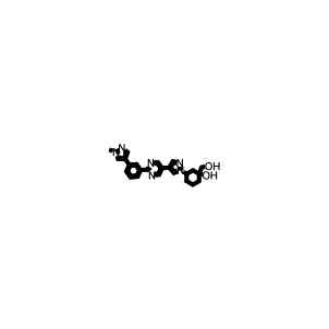 Cn1cc(-c2cccc(-c3ncc(-c4cnn(C5CCCC(O)(CO)C5)c4)cn3)c2)cn1